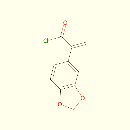 C=C(C(=O)Cl)c1ccc2c(c1)OCO2